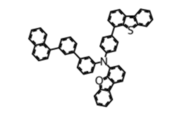 c1cc(-c2cccc(N(c3ccc(-c4cccc5c4sc4ccccc45)cc3)c3cccc4c3oc3ccccc34)c2)cc(-c2cccc3ccccc23)c1